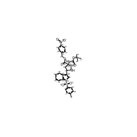 Cc1ccc(S(=O)(=O)n2cc(C3CC(NC(=O)OC(C)(C)C)(C(=O)OCc4ccc([N+](=O)[O-])cc4)NN3)c3ccccc32)cc1